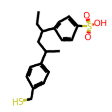 CCC(CC(C)c1ccc(CS)cc1)c1ccc(S(=O)(=O)O)cc1